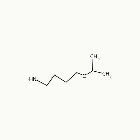 CC(C)OCCCC[NH]